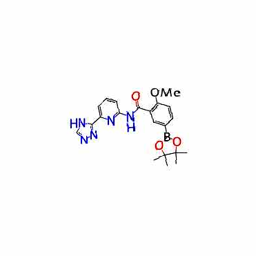 COc1ccc(B2OC(C)(C)C(C)(C)O2)cc1C(=O)Nc1cccc(-c2nnc[nH]2)n1